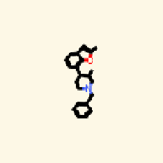 Cc1cc2cccc(C3CCN(Cc4ccccc4)CC3C)c2o1